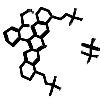 COC(=O)c1ccccc1-c1c2cc3c(cc2[o+]c2cc4c(cc12)CCCN4CCC(F)(F)F)N(CCC(F)(F)F)CCC3.O=S(=O)([O-])C(F)(F)F